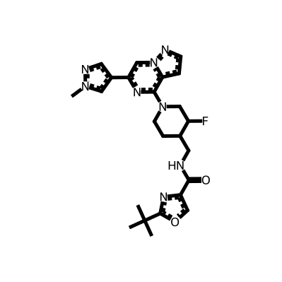 Cn1cc(-c2cn3nccc3c(N3CCC(CNC(=O)c4coc(C(C)(C)C)n4)C(F)C3)n2)cn1